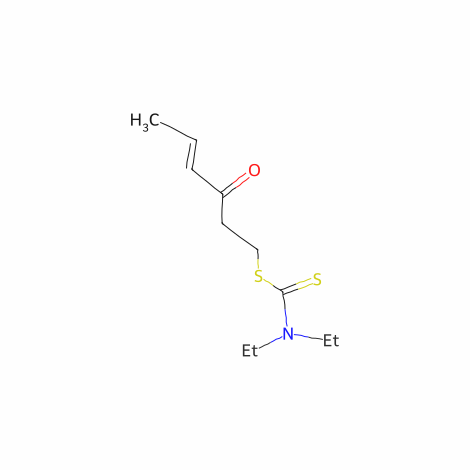 CC=CC(=O)CCSC(=S)N(CC)CC